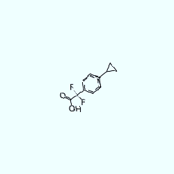 O=C(O)C(F)(F)c1ccc(C2CC2)cc1